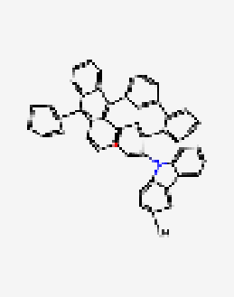 N#Cc1ccc2c(c1)c1ccccc1n2-c1ccccc1-c1ccccc1-c1cccc(-c2c3ccccc3c(-c3ccccc3)c3ccccc23)c1